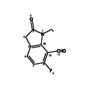 CN1C(=O)Cc2ccc(F)c(C=O)c21